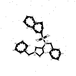 O=S(=O)(c1ccc2ccccc2c1)N(Cc1ccccc1)C1CCN(Cc2ccccc2)C1